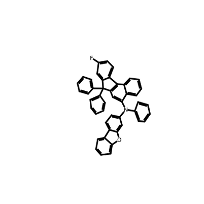 Fc1ccc2c(c1)C(c1ccccc1)(c1ccccc1)c1cc(N(c3ccccc3)c3ccc4c(c3)oc3ccccc34)c3ccccc3c1-2